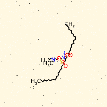 CCCCCCCC/C=C\CCCCCCCC(=O)OCC(COC(=O)CCCCCCC/C=C\CCCCCCCC)NC(=S)OCCN(CC)CC